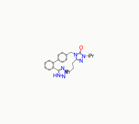 CC(C)CCc1nn(C(C)C)c(=O)n1Cc1ccc(-c2ccccc2-c2nnn[nH]2)cc1